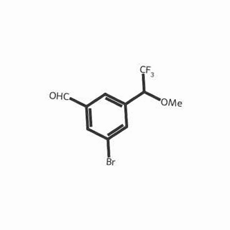 COC(c1cc(Br)cc(C=O)c1)C(F)(F)F